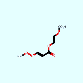 CCCCOOC=CC(=O)OCCOC(=O)O